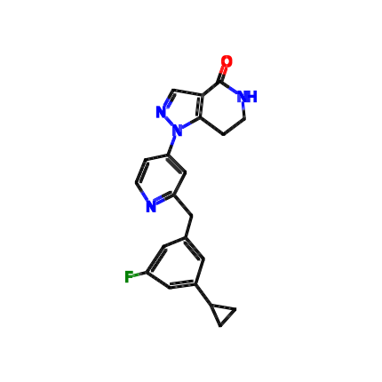 O=C1NCCc2c1cnn2-c1ccnc(Cc2cc(F)cc(C3CC3)c2)c1